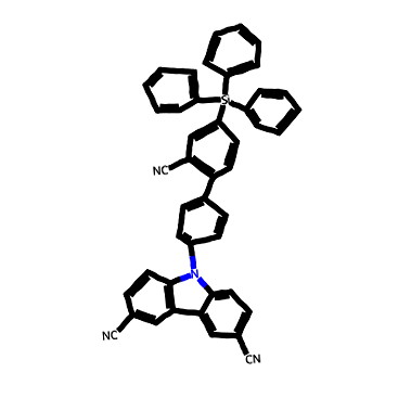 N#Cc1ccc2c(c1)c1cc(C#N)ccc1n2-c1ccc(-c2ccc([Si](c3ccccc3)(c3ccccc3)c3ccccc3)cc2C#N)cc1